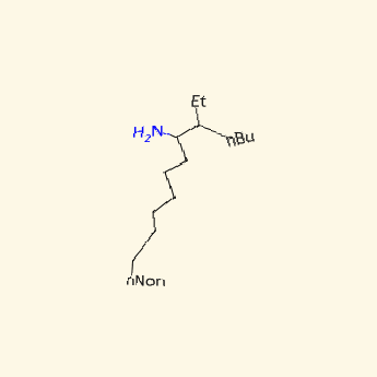 CCCCCCCCCCCCCCCC(N)C(CC)CCCC